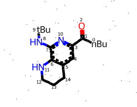 CCCCC(=O)c1cc2c(c(NC(C)(C)C)n1)NCCC2